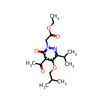 CCOC(=O)Cn1nc(C(C)C)c(OCC(C)C)c(C(C)=O)c1=O